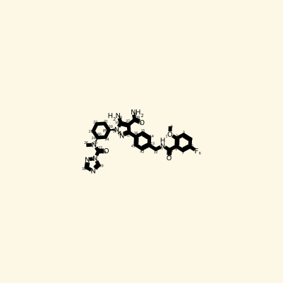 COc1ccc(F)cc1C(=O)NCc1ccc(-c2nn([C@@H]3CCC[C@@H](N(C)C(=O)n4cncn4)C3)c(N)c2C(N)=O)cc1